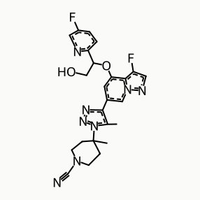 Cc1c(-c2cc(OC(CO)c3ccc(F)cn3)c3c(F)cnn3c2)nnn1C1(C)CCN(C#N)CC1